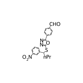 CCCC(Sc1nnc(-c2ccc(C=O)cc2)o1)c1cccc([N+](=O)[O-])c1